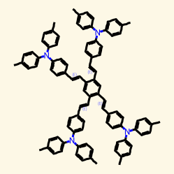 Cc1ccc(N(c2ccc(C)cc2)c2ccc(/C=C/c3cc(/C=C/c4ccc(N(c5ccc(C)cc5)c5ccc(C)cc5)cc4)c(/C=C/c4ccc(N(c5ccc(C)cc5)c5ccc(C)cc5)cc4)cc3/C=C/c3ccc(N(c4ccc(C)cc4)c4ccc(C)cc4)cc3)cc2)cc1